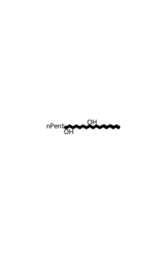 C=C/C=C/C=C/CCCC(O)CCCCCCC(O)CCCCC